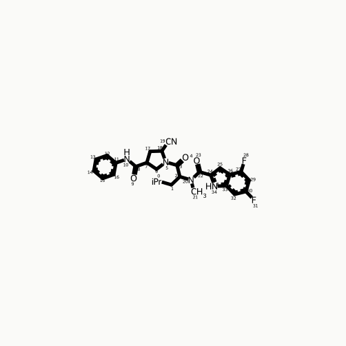 CC(C)CC(C(=O)N1CC(C(=O)Nc2ccccc2)CC1C#N)N(C)C(=O)c1cc2c(F)cc(F)cc2[nH]1